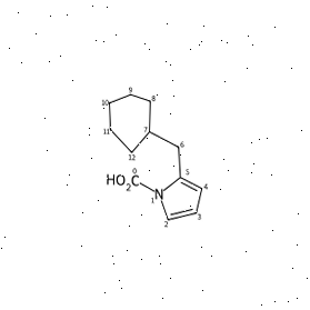 O=C(O)n1cccc1CC1CCCCC1